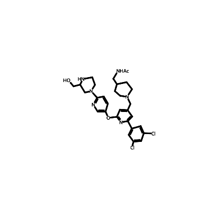 CC(=O)NCC1CCN(Cc2cc(Oc3ccc(N4CCNC(CO)C4)nc3)nc(-c3cc(Cl)cc(Cl)c3)c2)CC1